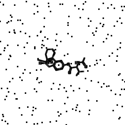 CC(=O)NC(C(=O)Oc1ccc2c(c1)[C@@]13CCCC[C@H]1[C@@H](C2)N(C)CC3)C(C)C